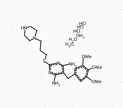 COc1cc(Cc2c(N)nc(SCCCN3CCNCC3)nc2N)cc(OC)c1OC.Cl.Cl.Cl.O.O.O